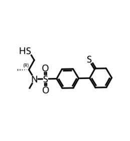 C[C@H](CS)N(C)S(=O)(=O)c1ccc(C2=CC=CCC2=S)cc1